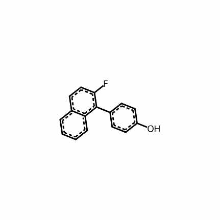 Oc1ccc(-c2c(F)ccc3ccccc23)cc1